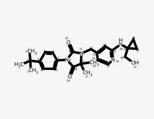 CC(C)(C)c1ccc(N2C(=O)N(Cc3ccnc(NC4(CO)CC4)c3)C(C)(C)C2=O)cc1